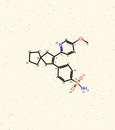 COc1ccc(C2=C(c3ccc(S(N)(=O)=O)cc3)CC3(CCCC3)C2)nc1